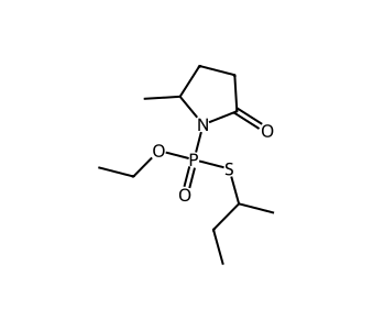 CCOP(=O)(SC(C)CC)N1C(=O)CCC1C